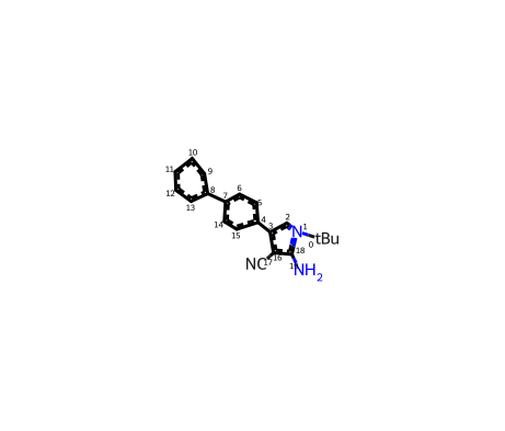 CC(C)(C)n1cc(-c2ccc(-c3ccccc3)cc2)c(C#N)c1N